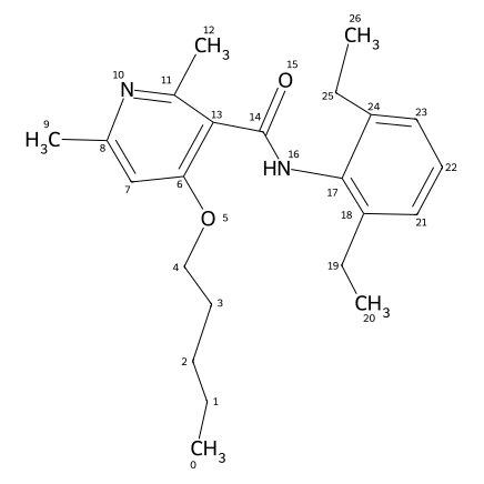 CCCCCOc1cc(C)nc(C)c1C(=O)Nc1c(CC)cccc1CC